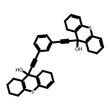 OC1(C#Cc2cccc(C#CC3(O)C4=C(C=CCC4)SC4=C3CCCC4)c2)C2=C(C=CCC2)SC2=C1CCC=C2